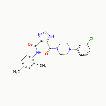 Cc1ccc(NC(=O)c2nc[nH]c2C(=O)N2CCN(c3cccc(Cl)c3)CC2)c(C)c1